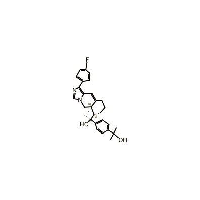 CC(C)(O)c1ccc([C@@](C)(O)[C@H]2CCCC3=Cc4c(-c5ccc(F)cc5)ncn4C[C@@]32C)cc1